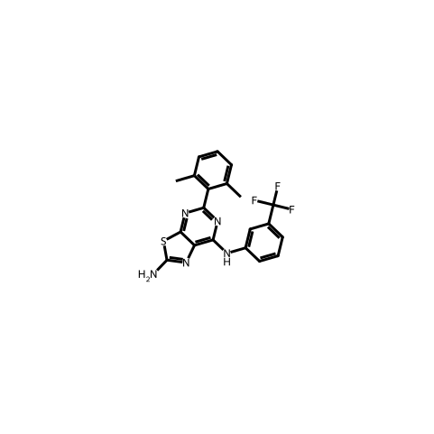 Cc1cccc(C)c1-c1nc(Nc2cccc(C(F)(F)F)c2)c2nc(N)sc2n1